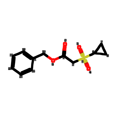 O=C(CS(=O)(=O)C1CC1)OCc1ccccc1